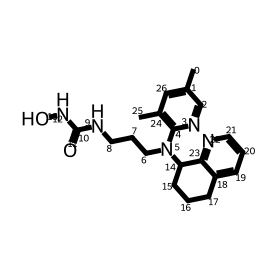 Cc1cnc(N(CCCNC(=O)NO)C2CCCc3cccnc32)c(C)c1